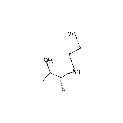 CNCCN[C@H](C)C(C)O